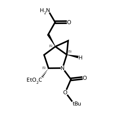 CCOC(=O)[C@@H]1C[C@]2(CC(N)=O)C[C@@H]2N1C(=O)OC(C)(C)C